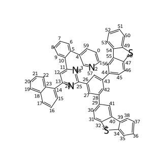 c1cncc(-c2ccccc2-c2cc(-c3cccc4ccccc34)nc(-c3cc(-c4ccc5sc6ccccc6c5c4)cc(-c4ccc5sc6ccccc6c5c4)c3)n2)c1